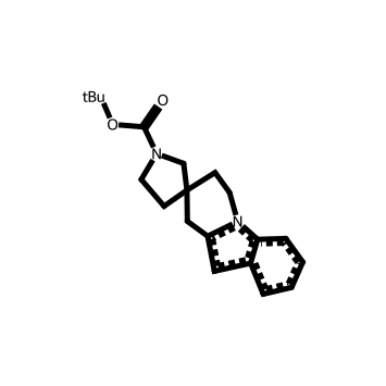 CC(C)(C)OC(=O)N1CCC2(CCn3c(cc4ccccc43)C2)C1